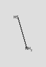 NCCCCCCCCCCCCCCCCCCCCCCCCCS